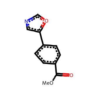 COC(=O)c1ccc(-c2cn[c]o2)cc1